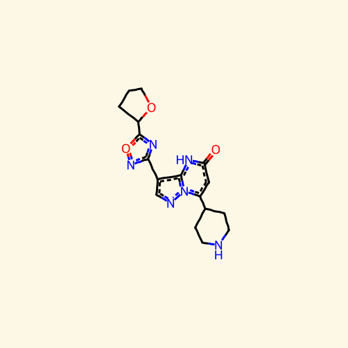 O=c1cc(C2CCNCC2)n2ncc(-c3noc(C4CCCO4)n3)c2[nH]1